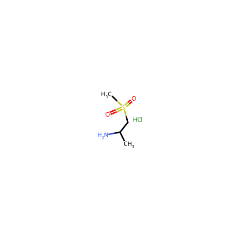 CC(N)CS(C)(=O)=O.Cl